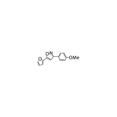 COc1ccc(-c2cc(-c3ccco3)on2)cc1